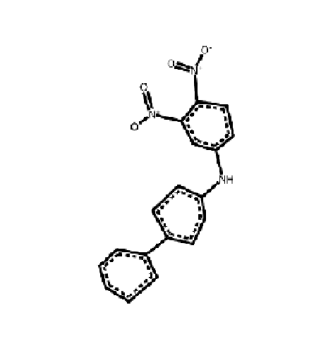 O=[N+]([O-])c1ccc(Nc2ccc(-c3ccccc3)cc2)cc1[N+](=O)[O-]